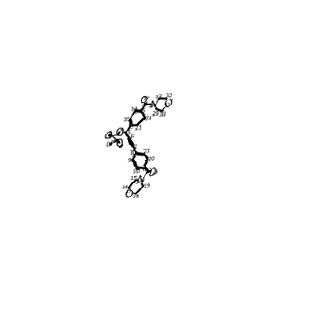 CS(=O)(=O)OC(C#Cc1ccc(C(=O)N2CCOCC2)cc1)c1ccc(C(=O)N2CCOCC2)cc1